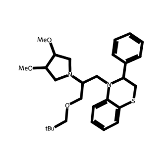 COC1CN(C(COCC(C)(C)C)CN2c3ccccc3SCC2c2ccccc2)CC1OC